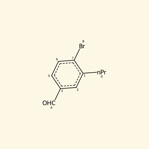 CCCc1cc(C=O)ccc1Br